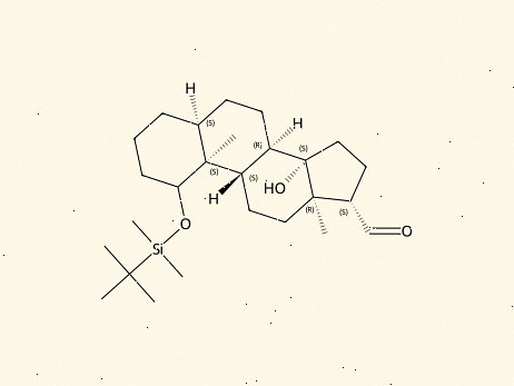 CC(C)(C)[Si](C)(C)OC1CCC[C@H]2CC[C@@H]3[C@H](CC[C@]4(C)[C@@H](C=O)CC[C@]34O)[C@@]12C